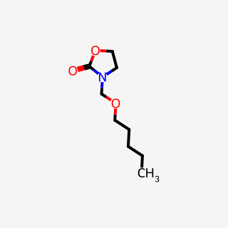 CCCCCOCN1CCOC1=O